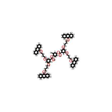 Cc1cc(OC(=O)c2cc(OCCCCOc3c4ccccc4cc4ccccc34)cc(OCCCCOc3c4ccccc4cc4ccccc34)c2)ccc1OC(=O)c1cc(OCCCCOc2c3ccccc3cc3ccccc23)cc(OCCCCOc2c3ccccc3cc3ccccc23)c1